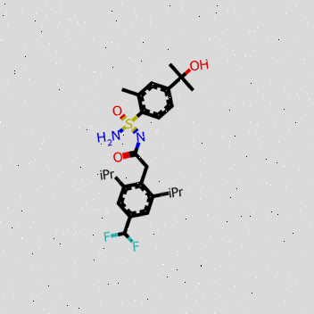 Cc1cc(C(C)(C)O)ccc1S(N)(=O)=NC(=O)Cc1c(C(C)C)cc(C(F)F)cc1C(C)C